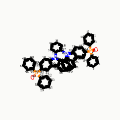 O=P(c1ccccc1)(c1ccccc1)c1ccc2c(c1)c1ccccc1n2-c1ccccc1-n1c2ccccc2c2cc(P(=O)(c3ccccc3)c3ccccc3)ccc21